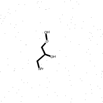 CCCCC(O)COO